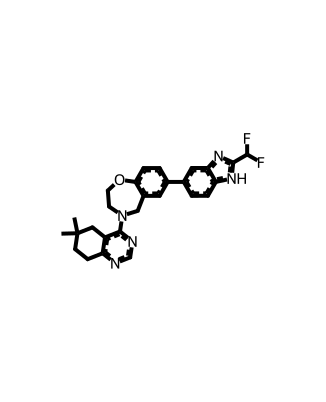 CC1(C)CCc2ncnc(N3CCOc4ccc(-c5ccc6[nH]c(C(F)F)nc6c5)cc4C3)c2C1